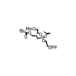 C=C(C)O[Si](CCCOC(=O)C(C)CC)(OCCOC)OCCOC